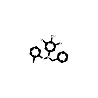 Cc1ccccc1SN(Cc1ccccc1)c1cc(Br)c(O)c(Br)c1